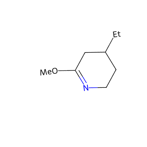 CCC1CCN=C(OC)C1